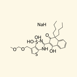 CCCCC1(CCCC)C(=O)C(C2=NS(O)(O)c3c(COCOC)csc3N2)=C(O)c2ccccc21.[NaH]